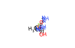 CC(C)(C)n1cc(NC(=O)Nc2ccc(Oc3ccnc(-c4ccn[nH]4)c3)cc2F)c(-c2cccc(CO)c2)n1